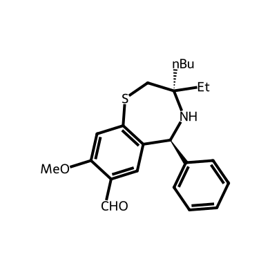 CCCC[C@@]1(CC)CSc2cc(OC)c(C=O)cc2[C@H](c2ccccc2)N1